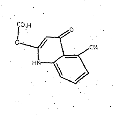 N#Cc1cccc2[nH]c(OC(=O)O)cc(=O)c12